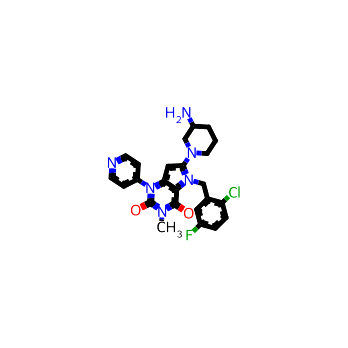 Cn1c(=O)c2c(cc(N3CCCC(N)C3)n2Cc2cc(F)ccc2Cl)n(-c2ccncc2)c1=O